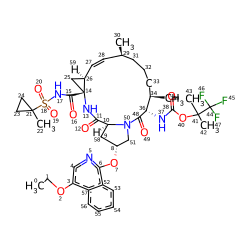 CCOc1cnc(O[C@@H]2C[C@H]3C(=O)N[C@]4(C(=O)NS(=O)(=O)C5(C)CC5)C[C@H]4/C=C\[C@@H](C)CCC[C@@H](C)[C@H](NC(=O)OC(C)(C)C(F)(F)F)C(=O)N3C2)c2ccccc12